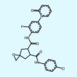 O=C(Nc1ccc(Cl)cc1)C1CC2(CO2)CC1C(=O)Nc1ccc(-n2ccccc2=O)cc1F